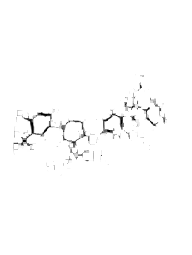 Cc1nc(O[C@H]2CC[C@H](c3ccc(F)c(C(F)(F)F)c3)C[C@@H]2N(C)C)ccc1S(=O)(=O)N(OC=O)c1ccncn1